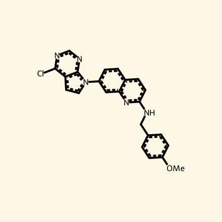 COc1ccc(CNc2ccc3ccc(-n4ccc5c(Cl)ncnc54)cc3n2)cc1